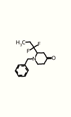 CCC(F)(F)C1CC(=O)CCN1Cc1ccccc1